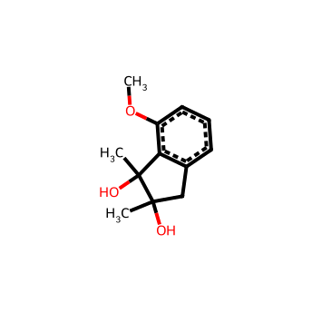 COc1cccc2c1C(C)(O)C(C)(O)C2